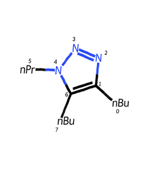 CCCCc1nnn(CCC)c1CCCC